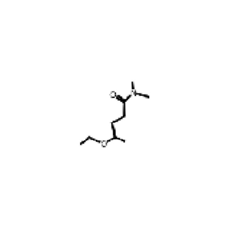 CCOC(C)CCC(=O)N(C)C